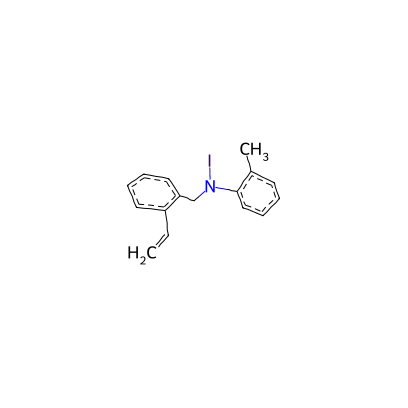 C=Cc1ccccc1CN(I)c1ccccc1C